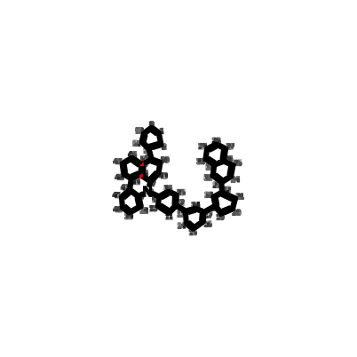 c1ccc(-c2ccc(N(c3ccc(-c4cccc(-c5cccc(-c6ccc7ccccc7c6)c5)c4)cc3)c3ccccc3-c3ccccc3)cc2)cc1